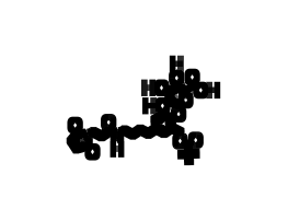 CC(C)(C)C(=O)OCc1cc(CCCCNC(=O)CCN2C(=O)C=CC2=O)ccc1O[C@@H]1O[C@H](C(=O)O)[C@@H](O)[C@H](O)[C@H]1O